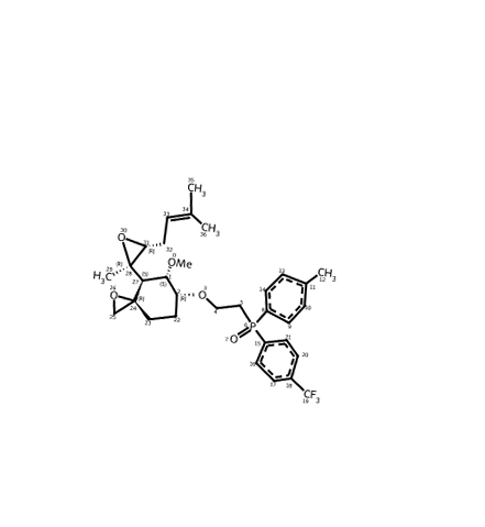 CO[C@@H]1[C@H](OCCP(=O)(c2ccc(C)cc2)c2ccc(C(F)(F)F)cc2)CC[C@]2(CO2)[C@H]1[C@@]1(C)O[C@@H]1CC=C(C)C